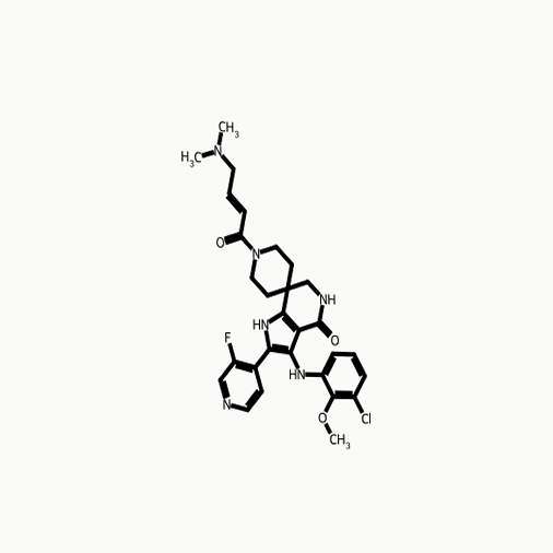 COc1c(Cl)cccc1Nc1c(-c2ccncc2F)[nH]c2c1C(=O)NCC21CCN(C(=O)C=CCN(C)C)CC1